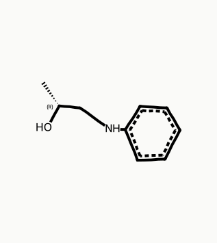 C[C@@H](O)CNc1ccccc1